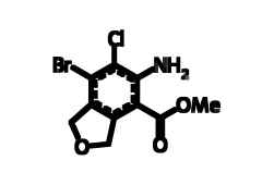 COC(=O)c1c(N)c(Cl)c(Br)c2c1COC2